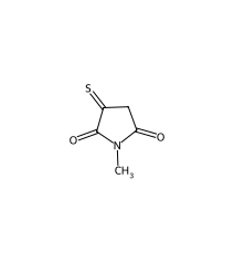 CN1C(=O)CC(=S)C1=O